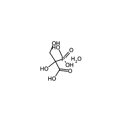 O.O=C(O)C(O)(CO)P(=O)(O)O